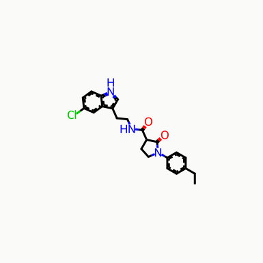 CCc1ccc(N2CCC(C(=O)NCCc3c[nH]c4ccc(Cl)cc34)C2=O)cc1